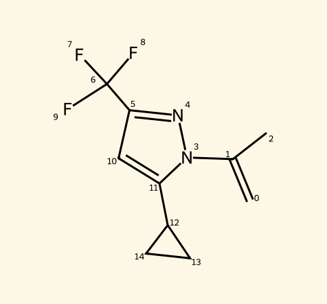 C=C(C)n1nc(C(F)(F)F)cc1C1CC1